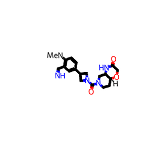 CNc1ccc(C2CN(C(=O)N3CC[C@@H]4OCC(=O)NC4C3)C2)cc1C=N